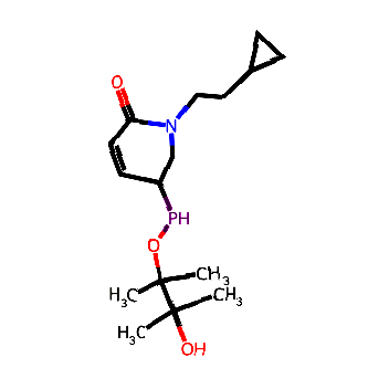 CC(C)(O)C(C)(C)OPC1C=CC(=O)N(CCC2CC2)C1